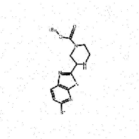 CC(C)(C)OC(=O)N1CCNC(c2nc3ccc(Br)nc3s2)C1